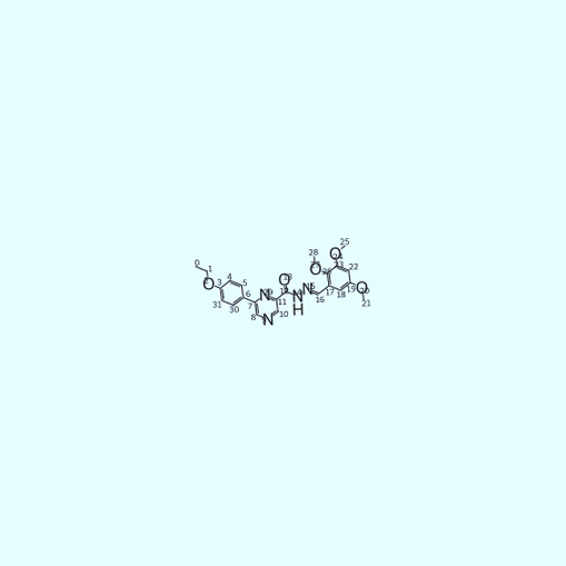 CCOc1ccc(-c2cncc(C(=O)NN=Cc3cc(OC)cc(OC)c3OC)n2)cc1